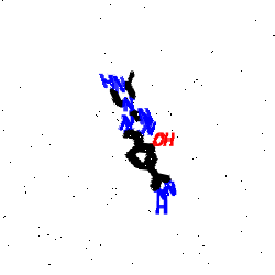 C[C@H]1CN(c2ncc(-c3ccc(-c4cn[nH]c4)cc3O)nn2)CCN1